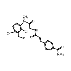 CNC(=O)c1ccc(/C=C/C(=O)NCC(=O)N(C)c2ccc(Cl)c(CBr)c2Cl)cc1